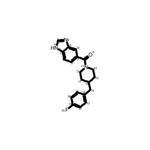 O=C(c1ccc2[nH]cnc2c1)N1CCC(Cc2ccc(F)cc2)CC1